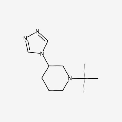 CC(C)(C)N1CCCC(n2cnnc2)C1